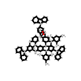 Cc1cc(C)c(N2c3cc4c(cc3B3c5cc6c(cc5N(c5c(C)cc(C)cc5C)c5cc(-n7c8ccccc8c8ccccc87)cc2c53)Oc2cc(-n3c5ccccc5c5ccccc53)cc3c2B6c2ccccc2O3)B2c3ccccc3Oc3cc(-n5c6ccccc6c6ccccc65)cc(c32)N4)c(C)c1